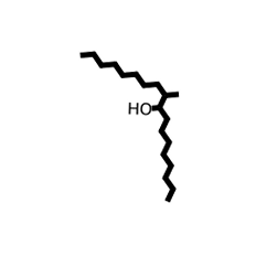 CCCCCCCCC(C)C(O)CCCCCCCC